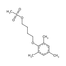 Cc1cc(C)c(OCCCCOS(C)(=O)=O)c(C)c1